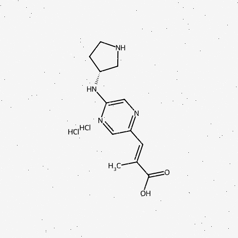 C/C(=C\c1cnc(N[C@@H]2CCNC2)cn1)C(=O)O.Cl.Cl